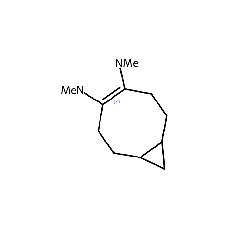 CN/C1=C(\NC)CCC2CC2CC1